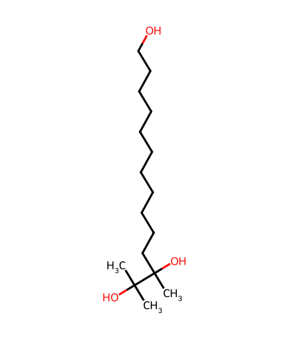 CC(C)(O)C(C)(O)CCCCCCCCCCCO